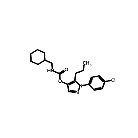 CCCc1c(OC(=O)NCC2CCCCC2)cnn1-c1ccc(Cl)cc1